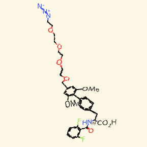 COc1cc(COCCOCCOCCOCCN=[N+]=[N-])cc(OC)c1-c1ccc(C[C@H](NC(=O)c2c(F)cccc2F)C(=O)O)cc1